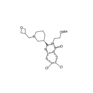 COCCn1c([C@@H]2CCCN(CC3COC3)C2)nc2cc(Cl)c(Cl)cc2c1=O